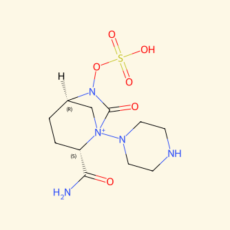 NC(=O)[C@@H]1CC[C@@H]2C[N+]1(N1CCNCC1)C(=O)N2OS(=O)(=O)O